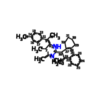 C=CN(C)/C(N/C(CC)=C(\C)c1ccc(C)cc1)=C(\C(=C)c1ccccc1)C1=CCCCC1